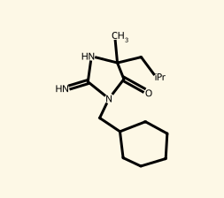 CC(C)CC1(C)NC(=N)N(CC2CCCCC2)C1=O